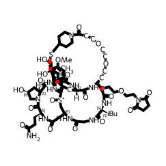 CC[C@H](C)[C@@H]1NC(=O)CC2(OCCOCCN3C(=O)CCC3=O)CCOCCOCCC(=O)N3CCC(CC3)SCc3c(OC)ccc4c5c([nH]c34)[S+]([O-])C[C@H](NC(=O)CNC1=O)C(=O)N[C@@H](CCC(N)=O)C(=O)N1C[C@H](O)C[C@H]1C(=O)N[C@@H]([C@@H](C)[C@@H](O)CO)C(=O)N[C@@H](C5)C(=O)N2